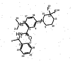 CC(NC(=O)c1cc(N2CCCC(F)(F)C2)ccc1N(C)C)c1ccccc1